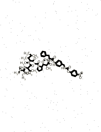 CC[C@H](C)[C@@H]([C@@H](CC(=O)N1CCCC1[C@H](OC)[C@@H](C)C(=O)NC(Cc1ccccc1)C(=O)Nc1ccc(CNC(=O)Oc2ccc([N+](=O)[O-])cc2)cc1)OC)N(C)C(=O)C(N=C(N(C)C)N(C)C)C(C)C